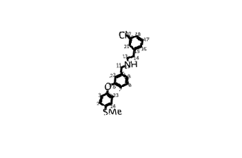 CSc1ccc(Oc2cccc(CNCCc3cccc(Cl)c3)c2)cc1